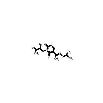 [2H]C(Cn1c(=O)[nH]cc(C(C)=NOC(C)C)c1=O)C(C)C